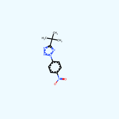 CC(C)(C)c1nnn(-c2ccc([N+](=O)[O-])cc2)n1